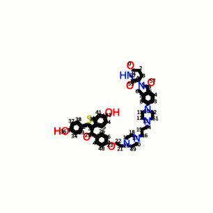 O=C1CCC(N2Cc3cc(N4CCN(CCCN5CCN(CCOc6ccc(C(=O)c7c(-c8ccc(O)cc8)sc8cc(O)ccc78)cc6)CC5)CC4)ccc3C2=O)C(=O)N1